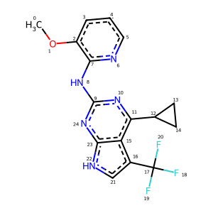 COc1c[c]cnc1Nc1nc(C2CC2)c2c(C(F)(F)F)c[nH]c2n1